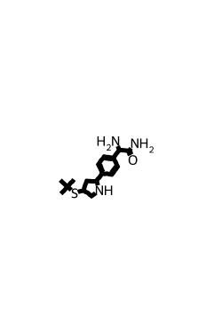 CC(C)(C)SC1CNC(c2ccc(C(N)C(N)=O)cc2)C1